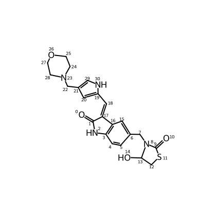 O=C1Nc2ccc(CN3C(=O)SCC3O)cc2/C1=C/c1cc(CN2CCOCC2)c[nH]1